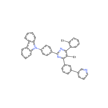 CCc1ccccc1-c1nc(-c2ccc(-n3c4ccccc4c4ccccc43)cc2)nc(-c2cccc(-c3cccnc3)c2)c1CC